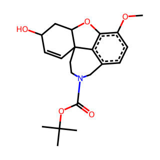 COc1ccc2c3c1OC1CC(O)C=CC31CCN(C(=O)OC(C)(C)C)C2